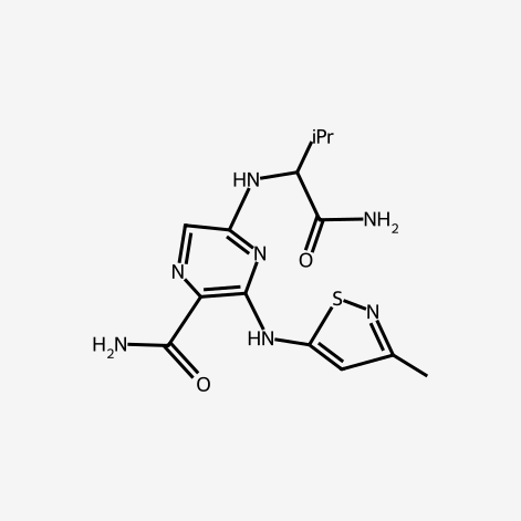 Cc1cc(Nc2nc(NC(C(N)=O)C(C)C)cnc2C(N)=O)sn1